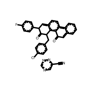 N#Cc1cncnn1.O=C1C=c2ccccc2=c2ccc3c(c21)C(Cc1ccc(Cl)cc1)C(=O)C(c1ccc(F)cc1)C=3